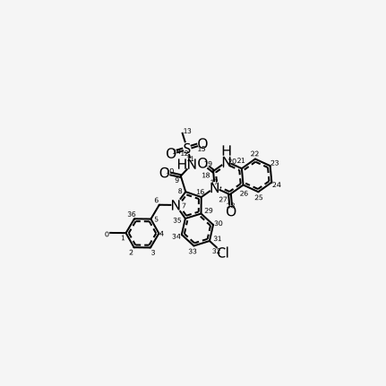 Cc1cccc(Cn2c(C(=O)NS(C)(=O)=O)c(-n3c(=O)[nH]c4ccccc4c3=O)c3cc(Cl)ccc32)c1